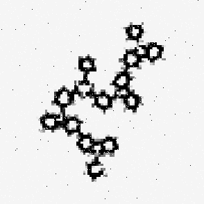 c1ccc(-c2nc(-c3cccc(-n4c5ccccc5c5cc(-c6ccc7c(c6)c6ccccc6n7-c6ccccc6)ccc54)c3)nc(-c3cccc(-n4c5ccccc5c5cc(-c6ccc7c(c6)c6ccccc6n7-c6ccccc6)ccc54)c3)n2)cc1